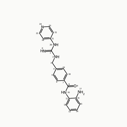 N=C(NCc1ccc(C(=O)Nc2ccccc2N)cc1)Nc1ccncc1